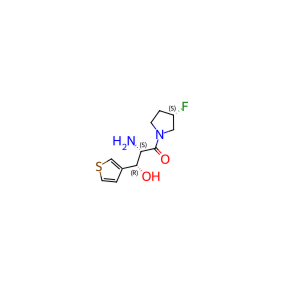 N[C@H](C(=O)N1CC[C@H](F)C1)[C@H](O)c1ccsc1